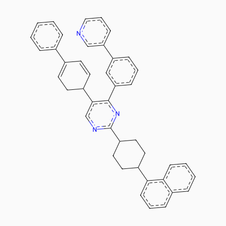 C1=CC(c2cnc(C3CCC(c4cccc5ccccc45)CC3)nc2-c2cccc(-c3cccnc3)c2)CC=C1c1ccccc1